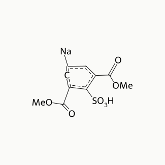 COC(=O)c1c[c]([Na])cc(C(=O)OC)c1S(=O)(=O)O